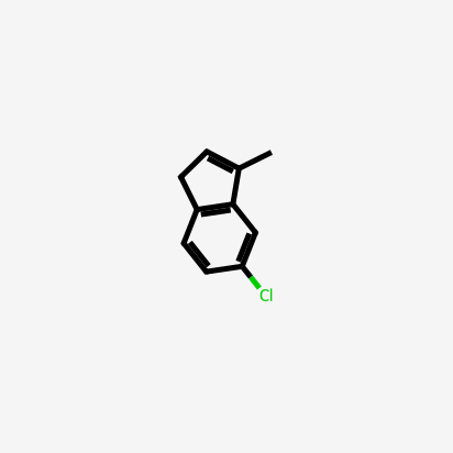 CC1=CCc2ccc(Cl)cc21